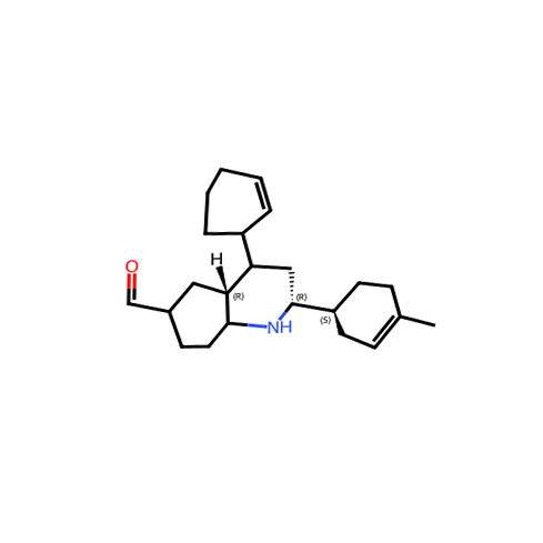 CC1=CC[C@@H]([C@H]2CC(C3C=CCCC3)[C@H]3CC(C=O)CCC3N2)CC1